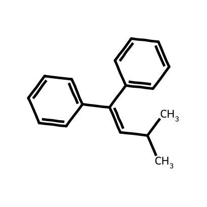 CC(C)C=C(c1ccccc1)c1ccccc1